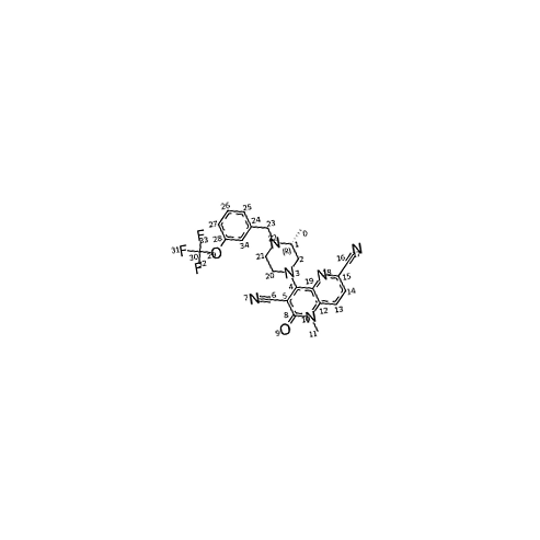 C[C@@H]1CN(c2c(C#N)c(=O)n(C)c3ccc(C#N)nc23)CCN1Cc1cccc(OC(F)(F)F)c1